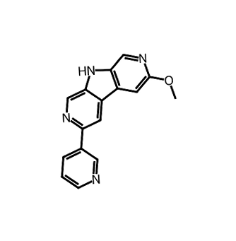 COc1cc2c(cn1)[nH]c1cnc(-c3cccnc3)cc12